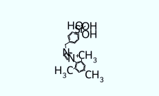 Cc1cc(C)c(-[n+]2ccn(Cc3ccc([Si](O)(O)O)cc3)c2)c(C)c1